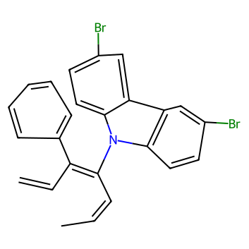 C=C/C(=C(\C=C/C)n1c2ccc(Br)cc2c2cc(Br)ccc21)c1ccccc1